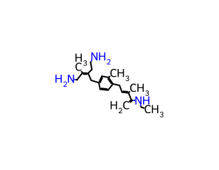 C=C(NCC)/C(C)=C/Cc1ccc(C/C(CCN)=C(/C)CN)cc1C